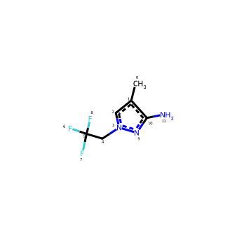 Cc1cn(CC(F)(F)F)nc1N